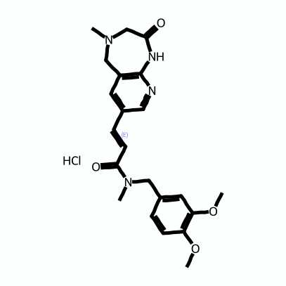 COc1ccc(CN(C)C(=O)/C=C/c2cnc3c(c2)CN(C)CC(=O)N3)cc1OC.Cl